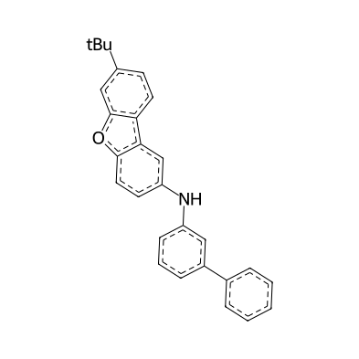 CC(C)(C)c1ccc2c(c1)oc1ccc(Nc3cccc(-c4ccccc4)c3)cc12